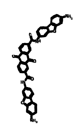 Nc1ccc2c(c1)oc1cc(NC(=O)c3ccc4c(c3)C(=O)c3cc(C(=O)Nc5ccc6c(c5)oc5cc(N)ccc56)ccc3C4=O)ccc12